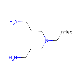 CCCCCCCN(CCCN)CCCN